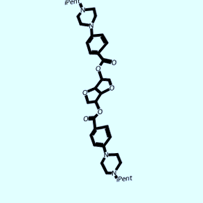 CCCC(C)N1CCN(c2ccc(C(=O)OC3COC4C(OC(=O)c5ccc(N6CCN(C(C)CCC)CC6)cc5)COC34)cc2)CC1